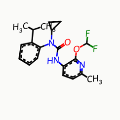 Cc1ccc(NC(=O)N(c2ccccc2C(C)C)C2CC2)c(OC(F)F)n1